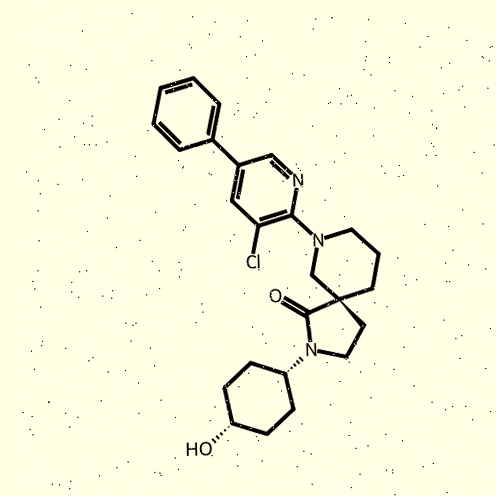 O=C1N([C@H]2CC[C@@H](O)CC2)CC[C@@]12CCCN(c1ncc(-c3ccccc3)cc1Cl)C2